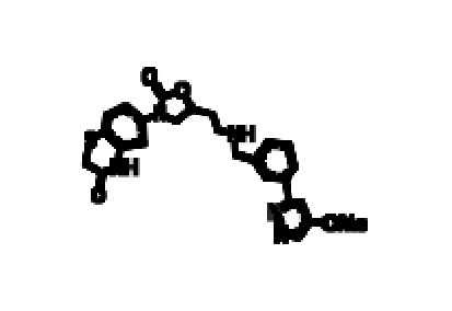 COc1cnnc(-c2cccc(CNCCC3CN(c4ccc5c(c4)NC(=O)CS5)C(=O)O3)c2)c1